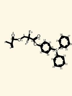 C=C(C)C(=O)OCC(F)(F)C(=O)Oc1ccc([S+](c2ccccc2)c2ccccc2)cc1